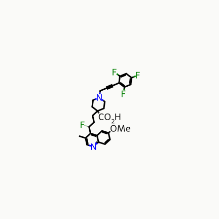 COc1ccc2ncc(C)c([C@H](F)CCC3(C(=O)O)CCN(CC#Cc4c(F)cc(F)cc4F)CC3)c2c1